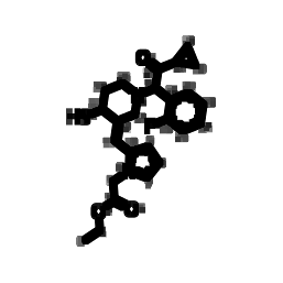 CCOC(=O)Cn1cccc1/C=C1\CN(C(C(=O)C2CC2)c2ccccc2F)CCC1S